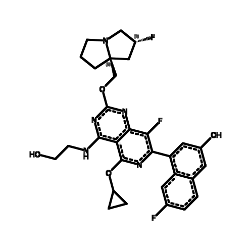 OCCNc1nc(OC[C@@]23CCCN2C[C@H](F)C3)nc2c(F)c(-c3cc(O)cc4ccc(F)cc34)nc(OC3CC3)c12